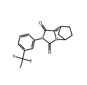 O=C1C2=C3CCC(C3)N2C(=O)N1c1cccc(C(F)(F)F)c1